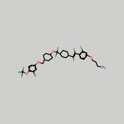 CCCCOc1ccc(/C(F)=C(\F)C2CCC(C(F)(F)OC3CCC(COc4ccc(OC(F)(F)F)c(F)c4)CC3)CC2)c(F)c1